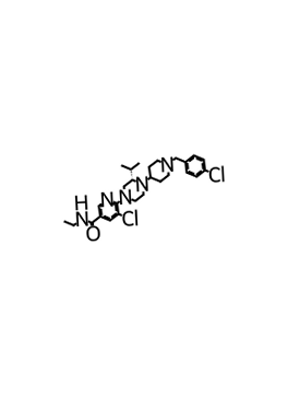 CCNC(=O)c1cnc(N2CCN(C3CCN(Cc4ccc(Cl)cc4)CC3)[C@@H](C(C)C)C2)c(Cl)c1